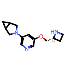 c1ncc(N2CC3CC3C2)cc1OC[C@H]1CCN1